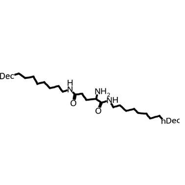 CCCCCCCCCCCCCCCCCCNC(=O)CCC(N)C(=O)NCCCCCCCCCCCCCCCCCC